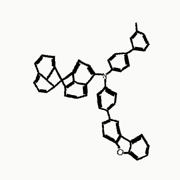 Cc1cccc(-c2ccc(N(c3ccc(-c4ccc5oc6ccccc6c5c4)cc3)c3ccc4c5c(cccc35)C43C4=CC=CC5=CC=CC3C54)cc2)c1